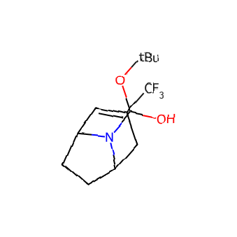 CC(C)(C)OC(O)N1C2C=C(C(F)(F)F)CC1CC2